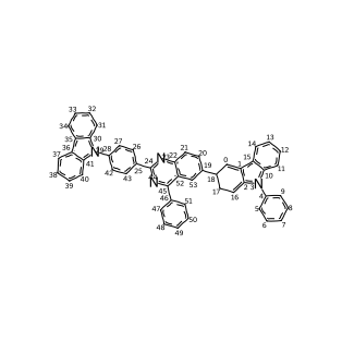 C1=c2c(n(-c3ccccc3)c3ccccc23)=CCC1c1ccc2nc(-c3ccc(-n4c5ccccc5c5ccccc54)cc3)nc(-c3ccccc3)c2c1